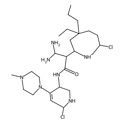 CCCC1(CC)CCC(Cl)CNC(C(C(=O)NC2CNC(Cl)C=C2N2CCN(C)CC2)C(N)N)C1